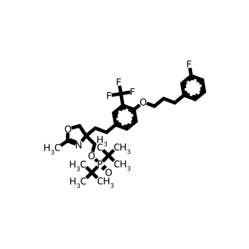 CC1=NC(CCc2ccc(OCCCc3cccc(F)c3)c(C(F)(F)F)c2)(COP(=O)(C(C)(C)C)C(C)(C)C)CO1